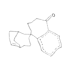 O=C1CCC2(CC3=CCC2C3)c2ccccc21